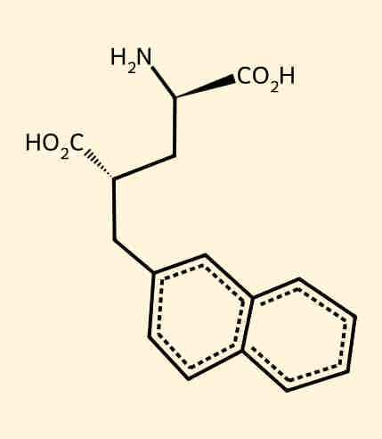 N[C@H](C[C@H](Cc1ccc2ccccc2c1)C(=O)O)C(=O)O